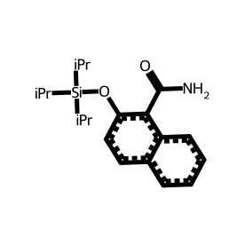 CC(C)[Si](Oc1ccc2ccccc2c1C(N)=O)(C(C)C)C(C)C